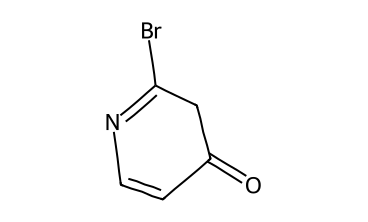 O=C1C=CN=C(Br)C1